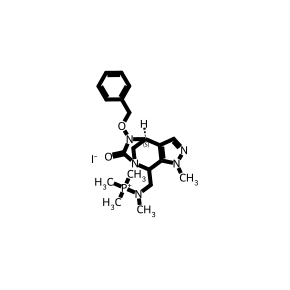 CN(CC1c2c(cnn2C)[C@H]2CN1C(=O)N2OCc1ccccc1)[P+](C)(C)C.[I-]